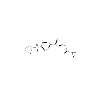 O=C(Nc1nc(-c2ccc(S(=O)(=O)N3CCCC3)cc2)cs1)C1CC1